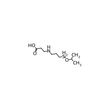 CC(C)O[SiH2]CCCNCCC(=O)O